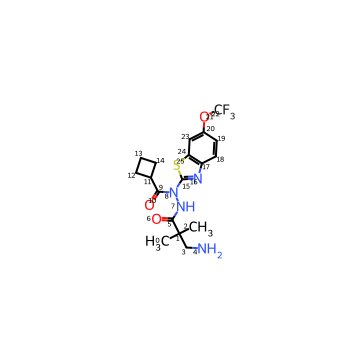 CC(C)(CN)C(=O)NN(C(=O)C1CCC1)c1nc2ccc(OC(F)(F)F)cc2s1